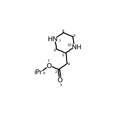 CC(C)OC(=O)CC1CNCCN1